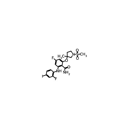 CC1(Oc2cc(F)cc(Nc3ccc(I)cc3F)c2C(N)=O)CCN(S(C)(=O)=O)C1